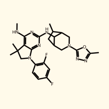 CNc1nc(NC2C3CC(C)C2CN(c2nnc(C)o2)C3)nc2c1C(C)(C)CN2c1ccc(F)cc1F